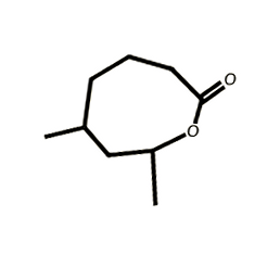 CC1CCCC(=O)OC(C)C1